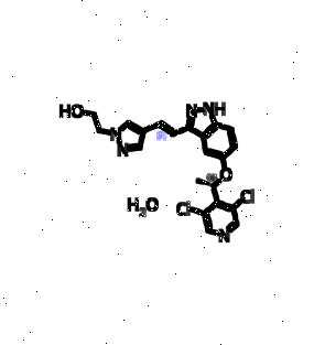 C[C@@H](Oc1ccc2[nH]nc(/C=C/c3cnn(CCO)c3)c2c1)c1c(Cl)cncc1Cl.O